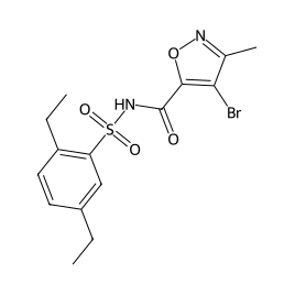 CCc1ccc(CC)c(S(=O)(=O)NC(=O)c2onc(C)c2Br)c1